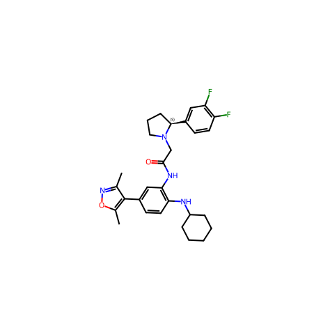 Cc1noc(C)c1-c1ccc(NC2CCCCC2)c(NC(=O)CN2CCC[C@H]2c2ccc(F)c(F)c2)c1